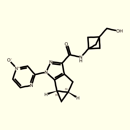 O=C(NC12CC(CO)(C1)C2)c1nn(-c2c[n+]([O-])ccn2)c2c1C[C@@H]1C[C@H]21